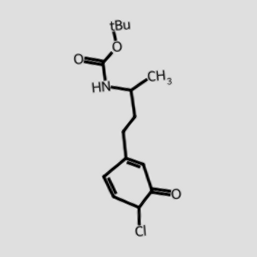 CC(CCC1=CC(=O)C(Cl)C=C1)NC(=O)OC(C)(C)C